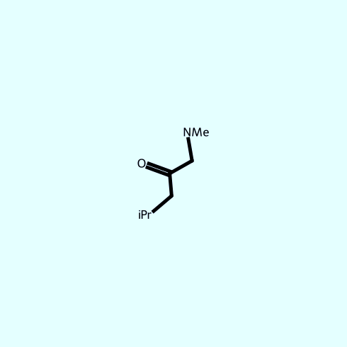 CNCC(=O)CC(C)C